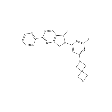 CC1c2cnc(-c3ncccn3)nc2CN1c1cc(N2CC3(COC3)C2)cc(F)n1